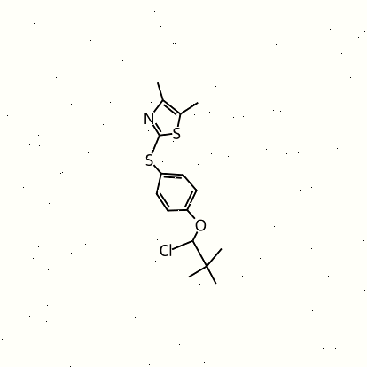 Cc1nc(Sc2ccc(OC(Cl)C(C)(C)C)cc2)sc1C